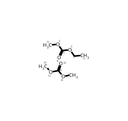 CCOC(=O)OC.COC(=O)OC